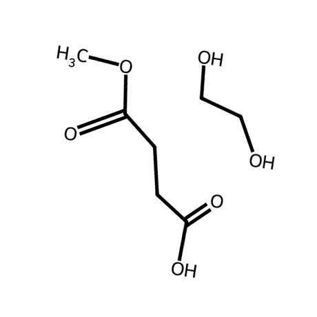 COC(=O)CCC(=O)O.OCCO